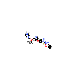 COc1cc2c(Oc3ccc(NC(=S)NC(=O)Cc4ccccc4)cc3F)ccnc2cc1OCCN1CCCN(C)CC1